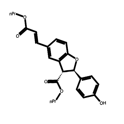 CCCOC(=O)/C=C/c1ccc2c(c1)[C@@H](C(=O)OCCC)[C@H](c1ccc(O)cc1)O2